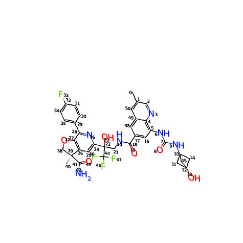 Cc1cnc2c(NC(=O)NC34CC(O)(C3)C4)cc(C(=O)NCC(O)(c3cc4c(c(-c5ccc(F)cc5)n3)OC[C@]4(C)C(N)=O)C(F)(F)F)cc2c1